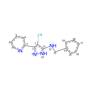 Fc1c(-c2ccccn2)n[nH]c1NCc1ccccc1